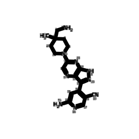 CC1(CN)CCN(c2cnc3c(-c4cc(N)ncc4C#N)n[nH]c3n2)CC1